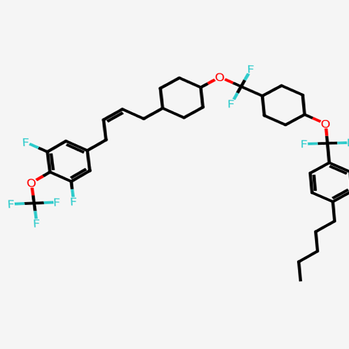 CCCCCc1ccc(C(F)(F)OC2CCC(C(F)(F)OC3CCC(C/C=C\Cc4cc(F)c(OC(F)(F)F)c(F)c4)CC3)CC2)cc1